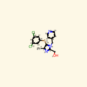 CC(C)c1nc(CO)n(Cc2ccncc2)c1Sc1cc(Cl)cc(Cl)c1